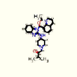 CCOC(c1cccc2cccnc12)n1c(NC2CCN(CC(=O)C(C)C)CC2)nc2ccccc21